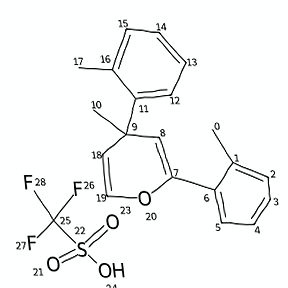 Cc1ccccc1C1=CC(C)(c2ccccc2C)C=CO1.O=S(=O)(O)C(F)(F)F